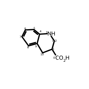 O=C(O)C1[C]Nc2ccccc2C1